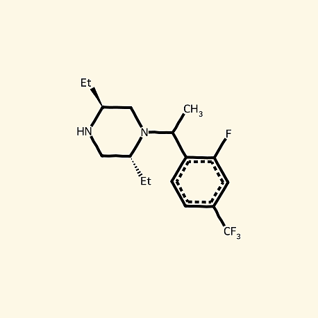 CC[C@H]1CN(C(C)c2ccc(C(F)(F)F)cc2F)[C@H](CC)CN1